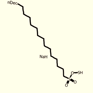 CCCCCCCCCCCCCCCCCCCCCCCCS(=O)(=O)OS.[NaH]